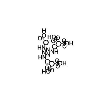 O=C(O)c1cccc(Nc2nc(Nc3ccc4c(S(=O)(=O)O)cc(S(=O)(=O)O)cc4c3)nc(Nc3ccc4c(S(=O)(=O)O)cc(S(=O)(=O)O)cc4c3)n2)c1